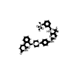 CN(c1cccc(CNc2nc(Nc3ccc(N4CCN(Cc5ccccc5C5CCC(=O)NC5=O)CC4)cc3)ncc2C(F)(F)F)c1)S(C)(=O)=O